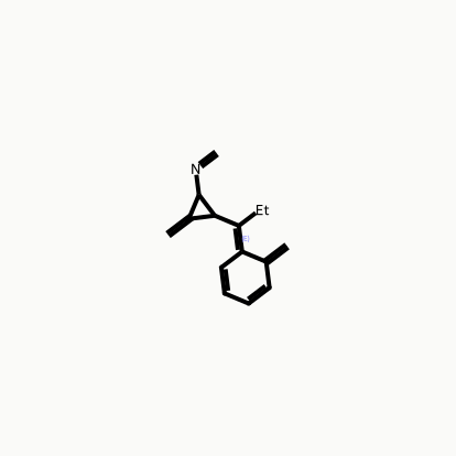 C=NC1C(=C)C1/C(CC)=c1\ccccc1=C